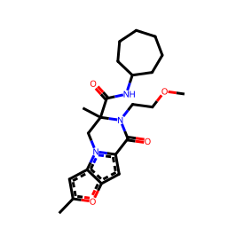 COCCN1C(=O)c2cc3oc(C)cc3n2CC1(C)C(=O)NC1CCCCCC1